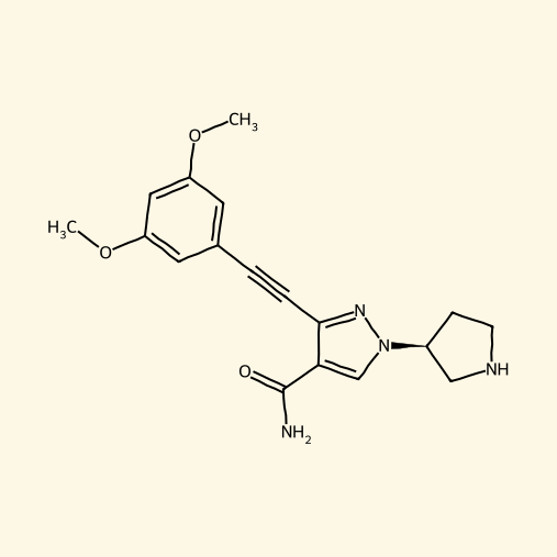 COc1cc(C#Cc2nn([C@H]3CCNC3)cc2C(N)=O)cc(OC)c1